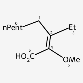 CCCCCCC(CC)=C(OC)C(=O)O